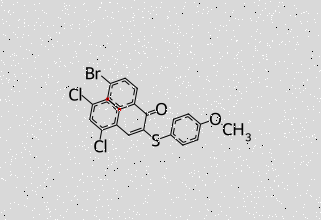 COc1ccc(S/C(=C/c2ccc(Cl)cc2Cl)C(=O)c2ccc(Br)cc2)cc1